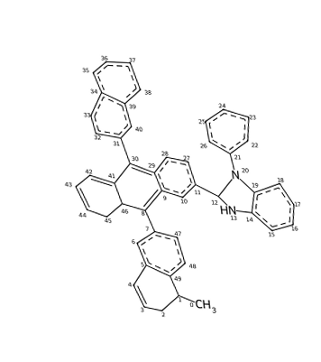 CC1CC=Cc2cc(C3=c4cc(C5Nc6ccccc6N5c5ccccc5)ccc4=C(c4ccc5ccccc5c4)C4=CC=CCC43)ccc21